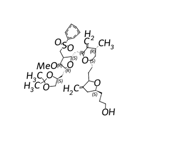 C=C1C[C@H](CCCO)OC1CC[C@H]1C[C@@H](C)C(=C)[C@@H](C[C@@H]2O[C@H](C[C@H]3COC(C)(C)O3)[C@H](OC)C2CS(=O)(=O)c2ccccc2)O1